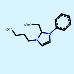 CCCCCCCCCCCCCN1C=CN(c2ccccc2)C1CCCCCCCCCCC